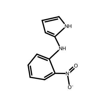 O=[N+]([O-])c1ccccc1Nc1ccc[nH]1